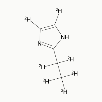 [2H]c1nc(C([2H])([2H])C([2H])([2H])[2H])[nH]c1[2H]